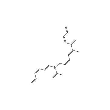 C=C/C=C\C=C\N(C/C=C\C=C(/C)C(=C)/C=C\C=C)C(=C)C